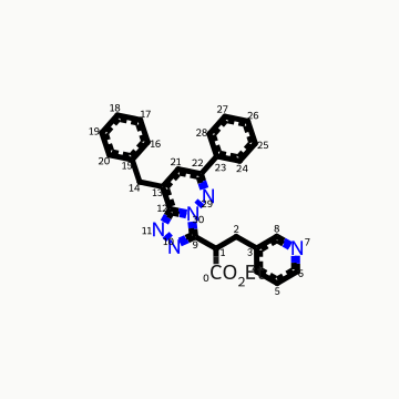 CCOC(=O)C(Cc1cccnc1)c1nnc2c(Cc3ccccc3)cc(-c3ccccc3)nn12